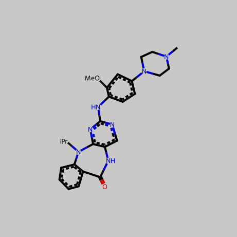 COc1cc(N2CCN(C)CC2)ccc1Nc1ncc2c(n1)N(C(C)C)c1ccccc1C(=O)N2